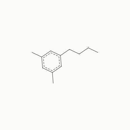 C[CH]CCc1cc(C)cc(C)c1